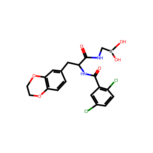 O=C(NC(Cc1ccc2c(c1)OCCO2)C(=O)NCB(O)O)c1cc(Cl)ccc1Cl